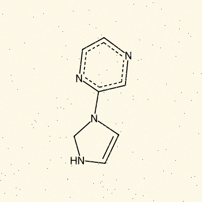 C1=CN(c2cnccn2)CN1